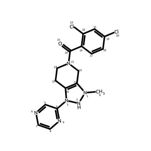 CN1NN(c2cnccn2)C2=C1CN(C(=O)c1ccc(Cl)cc1Cl)CC2